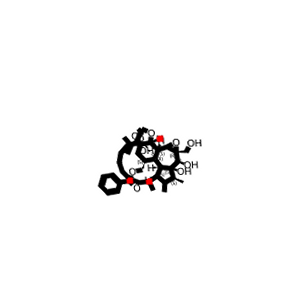 C=C(C)[C@]12C[C@@H](COC(=O)c3ccccc3)[C@@]34OC5(O[C@@H]1[C@@H]3C1O[C@]1(CO)[C@@H](O)[C@@]1(O)[C@H]4[C@@H](C(C)CCCCCC[C@@H]5O)C(C)[C@@H]1C)O2